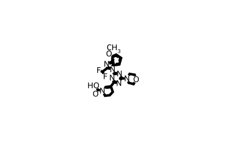 COc1cccc2c1nc(C(F)F)n2-c1nc(C2=CN(C(=O)O)CCC2)nc(N2CCOCC2)n1